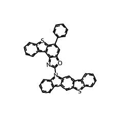 c1ccc(-c2cc3oc(-n4c5ccccc5c5cc6sc7ccccc7c6cc54)nc3c3c2sc2ccccc23)cc1